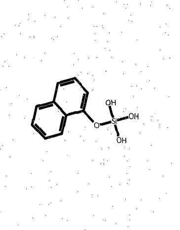 O[Si](O)(O)Oc1cccc2ccccc12